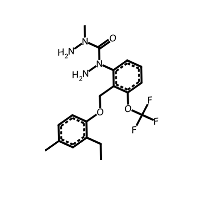 CCc1cc(C)ccc1OCc1c(OC(F)(F)F)cccc1N(N)C(=O)N(C)N